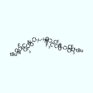 CC(C)(C)c1ccc(C(c2ccc(-c3nc4cc(C(c5ccc6oc(C(C)(C)CCC(C)(C)c7cccc(-c8nc9cc(C(c%10ccc%11oc(C(C)(C)C)nc%11c%10)(C(F)(F)F)C(F)(F)F)ccc9o8)c7)nc6c5)(C(F)(F)F)C(F)(F)F)ccc4o3)cc2)(C(F)(F)F)C(F)(F)F)cc1